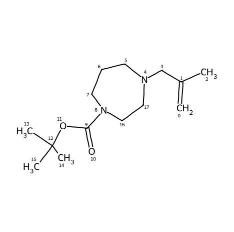 C=C(C)CN1CCCN(C(=O)OC(C)(C)C)CC1